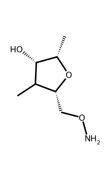 CC1[C@@H](CON)O[C@@H](C)[C@H]1O